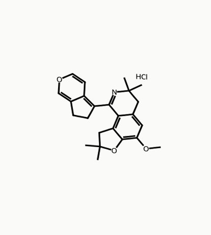 COc1cc2c(c3c1OC(C)(C)C3)C(C1=C3C=COC=C3CC1)=NC(C)(C)C2.Cl